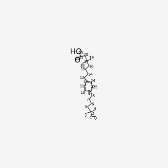 CCC(C)(C)CCCCc1ccc(CCCCC(C)(C)CC(=O)O)cc1